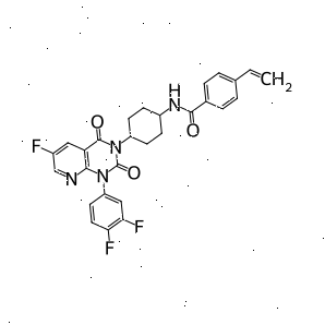 C=Cc1ccc(C(=O)NC2CCC(n3c(=O)c4cc(F)cnc4n(-c4ccc(F)c(F)c4)c3=O)CC2)cc1